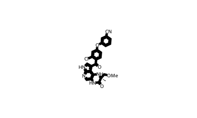 COC[C@]1(C)Nc2c(cnc3[nH]cc(C(=O)c4ccc(Oc5cccc(C#N)c5)cc4Cl)c23)NC1=O